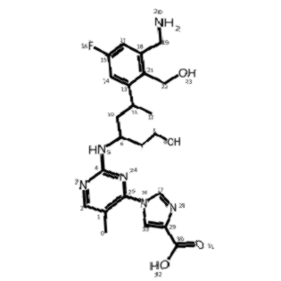 Cc1cnc(NC(CCO)CC(C)c2cc(F)cc(CN)c2CO)nc1-n1cnc(C(=O)O)c1